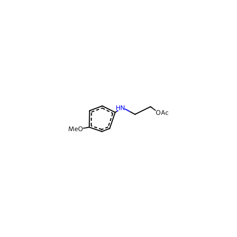 COc1ccc(NCCOC(C)=O)cc1